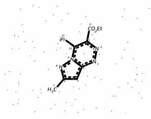 CCOC(=O)c1nnc2cc(C)nn2c1C(C)C